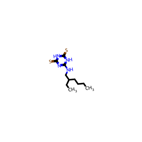 CCCCC(CC)CNc1nc(=S)[nH]c(=S)[nH]1